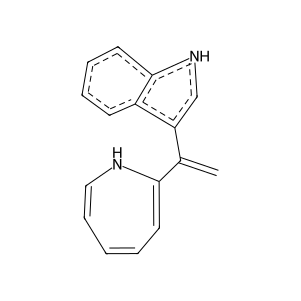 C=C(C1=CC=CC=CN1)c1c[nH]c2ccccc12